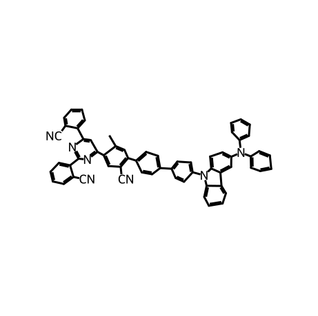 Cc1cc(-c2ccc(-c3ccc(-n4c5ccccc5c5cc(N(c6ccccc6)c6ccccc6)ccc54)cc3)cc2)c(C#N)cc1-c1cc(-c2ccccc2C#N)nc(-c2ccccc2C#N)n1